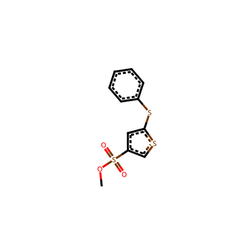 COS(=O)(=O)c1csc(Sc2ccccc2)c1